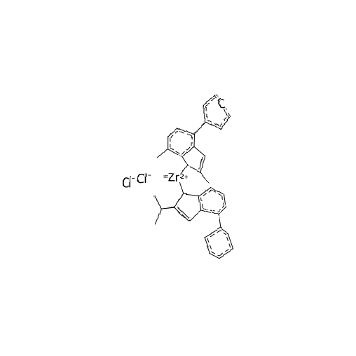 [CH2]=[Zr+2]([CH]1C(C(C)C)=Cc2c(-c3ccccc3)cccc21)[CH]1C(C)=Cc2c(-c3ccccc3)ccc(C)c21.[Cl-].[Cl-]